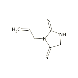 C=CCN1C(=S)CNC1=S